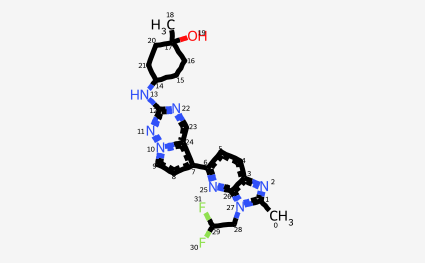 Cc1nc2ccc(-c3ccn4nc(NC5CCC(C)(O)CC5)ncc34)nc2n1CC(F)F